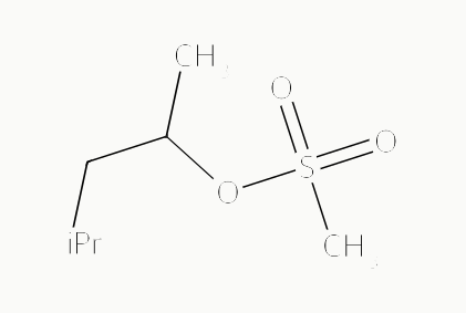 CC(C)CC(C)OS(C)(=O)=O